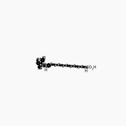 COCc1ccc2c(c1)C(c1ccc(Cl)cc1)=N[C@@H](CC(=O)Nc1ccc(OCCOCCOCCOCCOCCOCCOCCOCCOCCNC(=O)O)cc1)c1nncn1-2